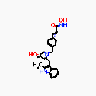 Cc1[nH]c2ccccc2c1C[C@H]1C[C@@H](O)CN1Cc1ccc(/C=C/C(=O)NO)cc1